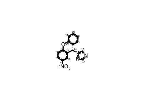 O=[N+]([O-])c1ccc(Oc2ccccc2)c(Cn2cncn2)c1